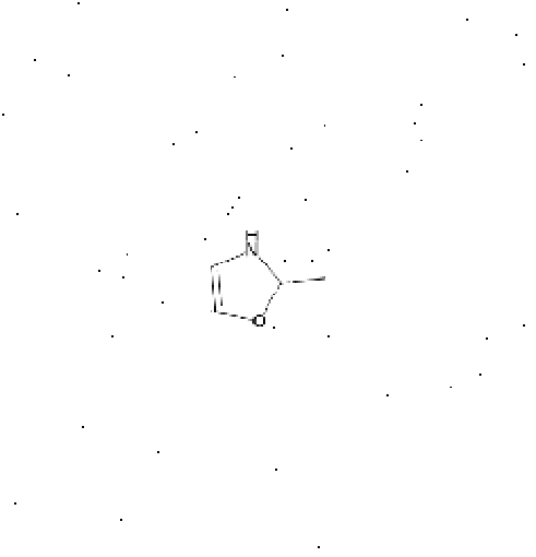 CC1NC=[C]O1